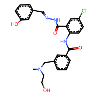 CN(CCO)Cc1cccc(C(=O)Nc2ccc(Cl)cc2C(=O)N/N=C/c2cccc(O)c2)c1